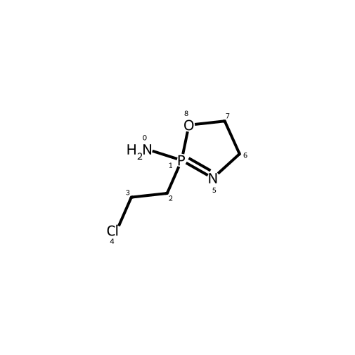 NP1(CCCl)=NCCO1